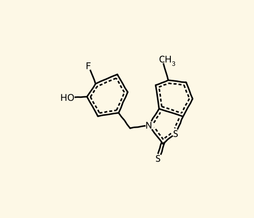 Cc1ccc2sc(=S)n(Cc3ccc(F)c(O)c3)c2c1